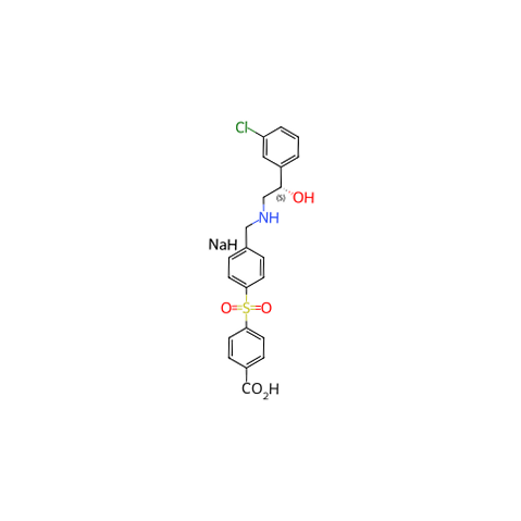 O=C(O)c1ccc(S(=O)(=O)c2ccc(CNC[C@@H](O)c3cccc(Cl)c3)cc2)cc1.[NaH]